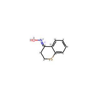 O/N=C1\CCSc2ccccc21